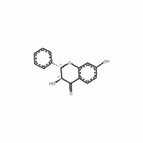 O=C1c2ccc(O)cc2O[C@@H](c2ccccc2)[C@@H]1O